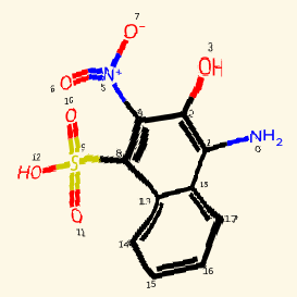 Nc1c(O)c([N+](=O)[O-])c(S(=O)(=O)O)c2ccccc12